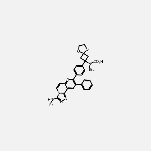 CCNc1nnc2c3cc(-c4ccccc4)c(-c4ccc(C5(N(C(=O)O)C(C)(C)C)CC6(C5)OCCO6)cc4)nc3ccn12